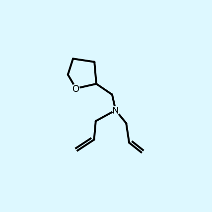 C=CCN(CC=C)CC1CCCO1